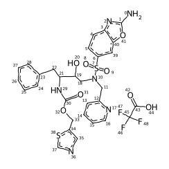 Nc1nc2ccc(S(=O)(=O)N(Cc3ccccn3)CC(O)C(Cc3ccccc3)NC(=O)OCc3cncs3)cc2o1.O=C(O)C(F)(F)F